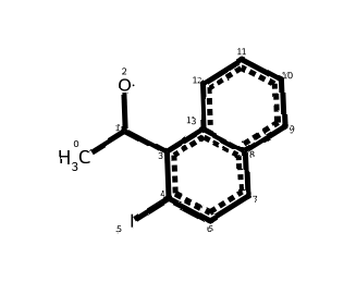 CC([O])c1c(I)ccc2ccccc12